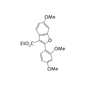 CCOC(=O)c1c(-c2ccc(OC)cc2OC)oc2cc(OC)ccc12